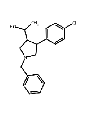 CC(O)C1CN(Cc2ccccc2)CC1c1ccc(Cl)cc1